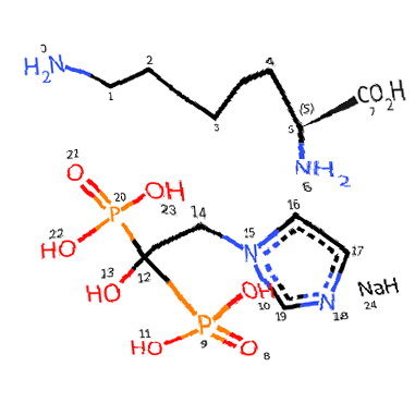 NCCCC[C@H](N)C(=O)O.O=P(O)(O)C(O)(Cn1ccnc1)P(=O)(O)O.[NaH]